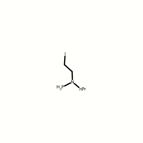 CCCN(P)CCI